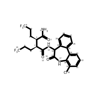 NC(=O)[C@H](CCC(F)(F)F)[C@H](CCC(F)(F)F)C(=O)NC1C(=O)Nc2c(Cl)cccc2-c2ccccc21